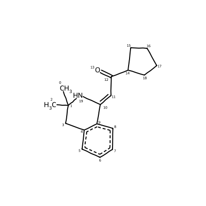 CC1(C)Cc2ccccc2C(=CC(=O)C2CCCC2)N1